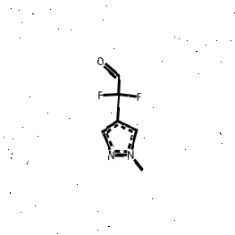 Cn1cc(C(F)(F)C=O)cn1